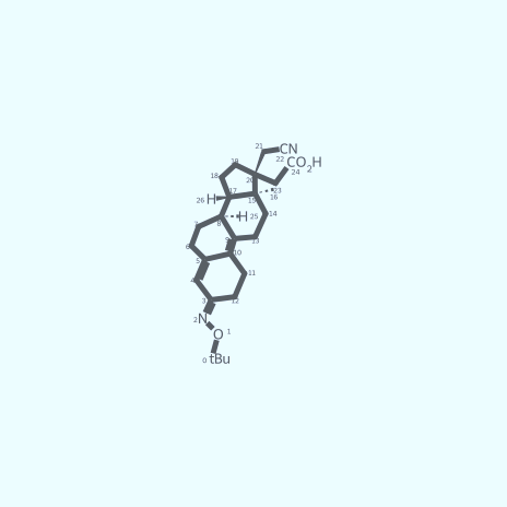 CC(C)(C)O/N=C1/C=C2CC[C@@H]3C(=C2CC1)CC[C@@]1(C)[C@H]3CC[C@]1(CC#N)CC(=O)O